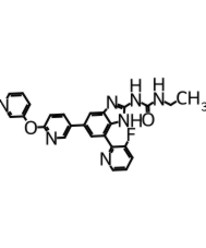 CCNC(=O)Nc1nc2cc(-c3ccc(Oc4cccnc4)nc3)cc(-c3ncccc3F)c2[nH]1